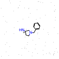 [NH][C@@H]1CCN(Cc2ccccc2)C1